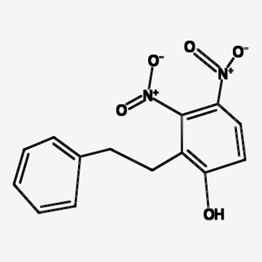 O=[N+]([O-])c1ccc(O)c(CCc2ccccc2)c1[N+](=O)[O-]